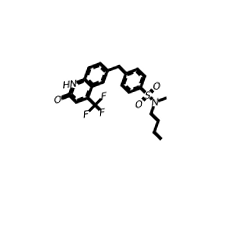 CCCCN(C)S(=O)(=O)c1ccc(Cc2ccc3[nH]c(=O)cc(C(F)(F)F)c3c2)cc1